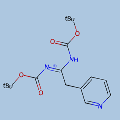 CC(C)(C)OC(=O)/N=C(\Cc1cccnc1)NC(=O)OC(C)(C)C